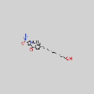 Cn1cc(C(N)=O)cc1C(=O)c1ccc(CCCCCCCCCCCCO)cc1